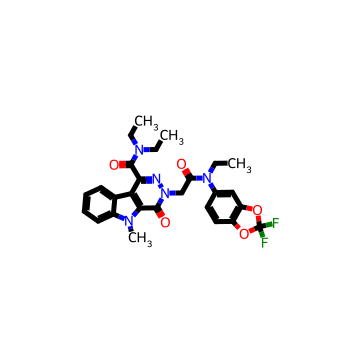 CCN(CC)C(=O)c1nn(CC(=O)N(CC)c2ccc3c(c2)OC(F)(F)O3)c(=O)c2c1c1ccccc1n2C